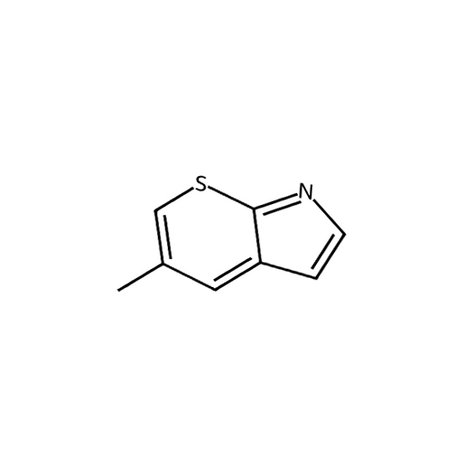 Cc1csc2nccc-2c1